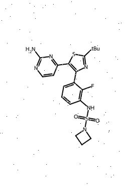 CC(C)(C)c1nc(-c2cccc(NS(=O)(=O)N3CCC3)c2F)c(-c2ccnc(N)n2)s1